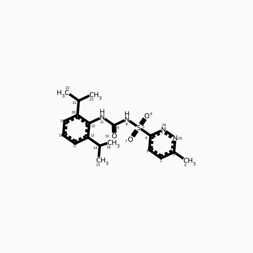 Cc1ccc(S(=O)(=O)NC(=O)Nc2c(C(C)C)cccc2C(C)C)nn1